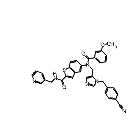 COc1cccc(C(=O)N(Cc2cncn2Cc2ccc(C#N)cc2)c2ccc3sc(C(=O)NCc4cccnc4)cc3c2)c1